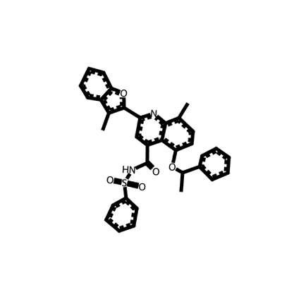 Cc1c(-c2cc(C(=O)NS(=O)(=O)c3ccccc3)c3c(OC(C)c4ccccc4)ccc(C)c3n2)oc2ccccc12